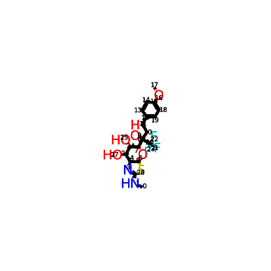 CNC1=NC2C(OC([C@@](O)(CCc3ccc(OC)cc3)C(F)(F)F)C(O)C2O)S1